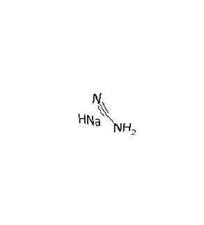 N#CN.[NaH]